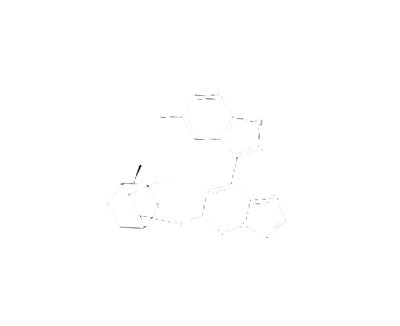 O=C(O)[C@H]1C2CCC(CC2)[C@@H]1Nc1nc(-c2n[nH]c3ncc(F)cc23)c2nccn2n1